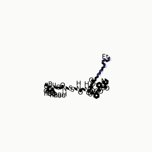 CC/C=C\C/C=C\C/C=C\C/C=C/C=C/CCCC(=O)OCC(C)(C)[C@@H](OC(=O)c1ccccc1OC(=O)c1ccccc1OC(=O)c1cccnc1)C(=O)NCCC(=O)NCCSSCCNC(=O)COCCN1C[C@@H](OCCCC)C(OCCCC)[C@H](OCCCC)C1COCCCC